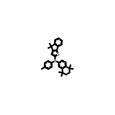 Cc1ccc(B(c2ccc3c(c2)C(C)(C)CCC3(C)C)c2cc3c(s2)-c2ccccc2C3(C)C)cc1